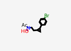 CC(=O)N(O)CCC1CC1c1ccc(Br)cc1